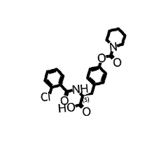 O=C(N[C@@H](Cc1ccc(OC(=O)N2CCCCC2)cc1)C(=O)O)c1ccccc1Cl